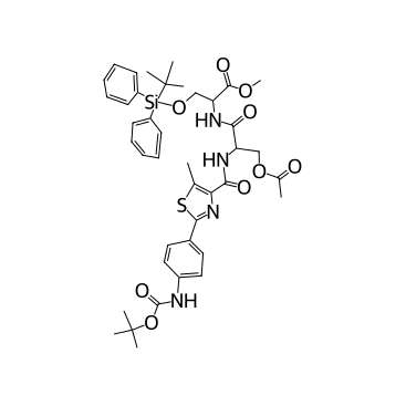 COC(=O)C(CO[Si](c1ccccc1)(c1ccccc1)C(C)(C)C)NC(=O)C(COC(C)=O)NC(=O)c1nc(-c2ccc(NC(=O)OC(C)(C)C)cc2)sc1C